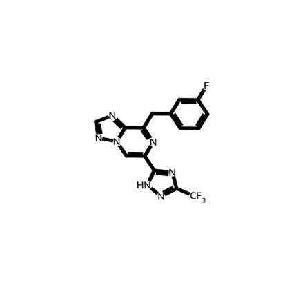 Fc1cccc(Cc2nc(-c3nc(C(F)(F)F)n[nH]3)cn3ncnc23)c1